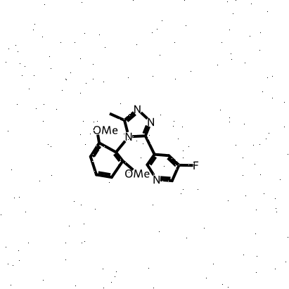 COc1cccc(OC)c1-n1c(C)nnc1-c1cncc(F)c1